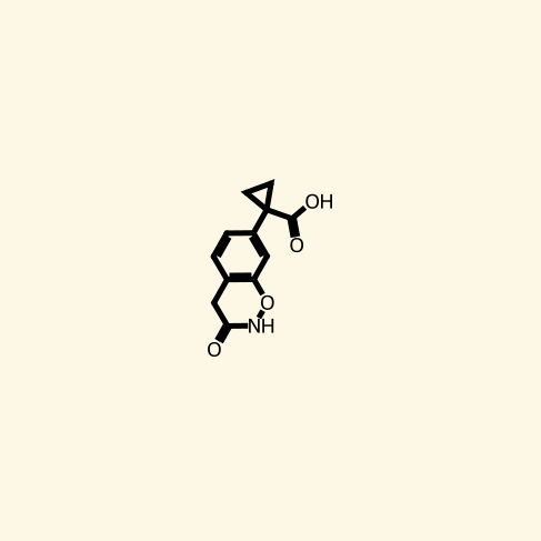 O=C1Cc2ccc(C3(C(=O)O)CC3)cc2ON1